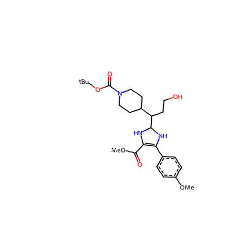 COC(=O)C1=C(c2ccc(OC)cc2)NC(C(CCO)C2CCN(C(=O)OC(C)(C)C)CC2)N1